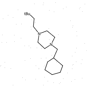 CC(C)(C)CCN1CCN(CC2CCCCC2)CC1